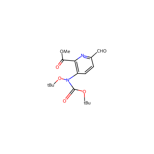 COC(=O)c1nc(C=O)ccc1N(OC(C)(C)C)C(=O)OC(C)(C)C